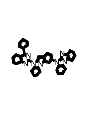 c1ccc(-c2nc(-n3c4ccccc4n4c5cc(-n6c7ccccc7n7c8ccccc8nc67)ccc5cc34)nc3ccccc23)cc1